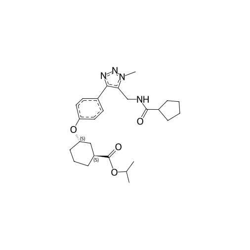 CC(C)OC(=O)[C@H]1CCC[C@H](Oc2ccc(-c3nnn(C)c3CNC(=O)C3CCCC3)cc2)C1